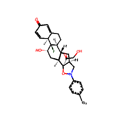 CC(C)(C)c1ccc(N2C[C@@H]3C[C@H]4[C@@H]5CCC6=CC(=O)C=C[C@]6(C)[C@@]5(F)[C@@H](O)C[C@]4(C)[C@]3(C(=O)CO)O2)cc1